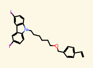 C=Cc1ccc(COCCCCCCn2c3ccc(I)cc3c3cc(I)ccc32)cc1